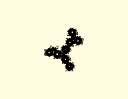 CC1(C)c2ccccc2C2=CC=C(N(c3ccc(-c4ccccc4)cc3)c3ccc(-c4ccc5c(c4)C4C=CC=CC4N5C4=CCCC=C4)cc3)CC21